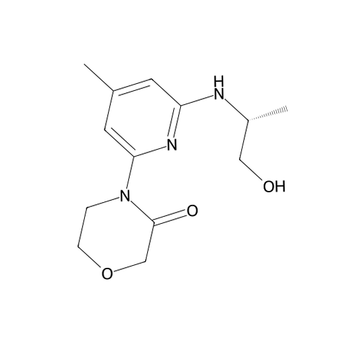 Cc1cc(N[C@H](C)CO)nc(N2CCOCC2=O)c1